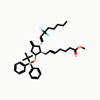 C=C1C[C@H](O[Si](c2ccccc2)(c2ccccc2)C(C)(C)C)[C@H](C/C=C/CCCC(=O)OC)[C@H]1/C=C/C(F)(F)CCCCC